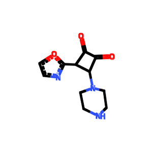 O=C1C(=O)C(N2CCNCC2)C1c1ncco1